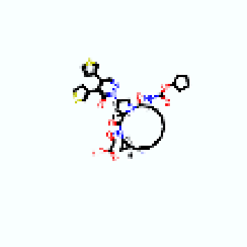 O=C(N[C@H]1CCCCC/C=C\[C@@H]2C[C@@]2(C(=O)C(=O)O)NC(=O)[C@@H]2C[C@@H](n3ncc(-c4ccsc4)c(C4=CSCC4)c3=O)CN2C1=O)OC1CCCC1